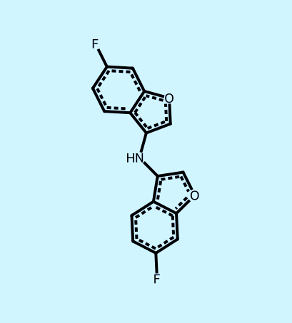 Fc1ccc2c(Nc3coc4cc(F)ccc34)coc2c1